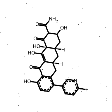 NC(=O)C1C(=O)[C@@]2(O)C(O)=C3C(=O)c4c(O)ccc(-c5ccc(F)nc5)c4C[C@H]3C[C@H]2CC1O